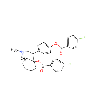 CN(C)CC(c1ccc(OC(=O)c2ccc(F)cc2)cc1)C1(OC(=O)c2ccc(F)cc2)CCCCC1